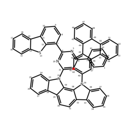 c1ccc(-c2nc(-c3cccc4c3sc3ccccc34)nc(-n3c4ccccc4c4ccc5c6ccccc6n(-c6ccc7c8ccccc8c8ccccc8c7c6)c5c43)n2)cc1